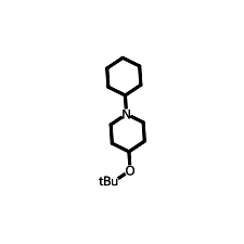 CC(C)(C)OC1CCN(C2CCCCC2)CC1